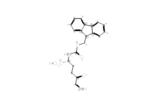 N=CC(=O)CC[C@H](NC(=O)OCC1c2ccccc2-c2ccccc21)C(=O)O